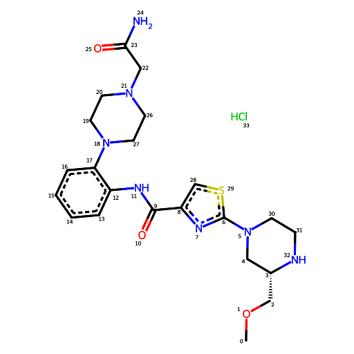 COC[C@@H]1CN(c2nc(C(=O)Nc3ccccc3N3CCN(CC(N)=O)CC3)cs2)CCN1.Cl